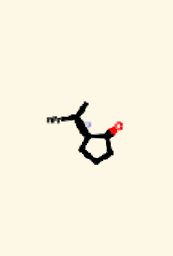 CCC/C(C)=C1\CCCC1=O